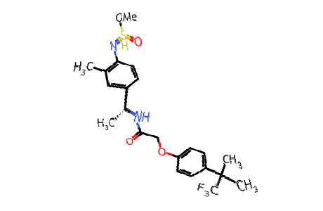 CO[SH](=O)=Nc1ccc([C@@H](C)NC(=O)COc2ccc(C(C)(C)C(F)(F)F)cc2)cc1C